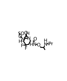 CC(C)NC(C)CONC(=O)[C@@H]1CC(F)(F)[C@@H]2CN1C(=O)N2OS(=O)(=O)O